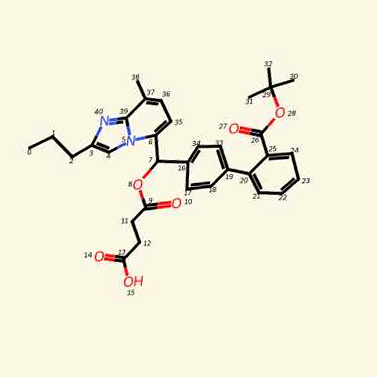 CCCc1cn2c(C(OC(=O)CCC(=O)O)c3ccc(-c4ccccc4C(=O)OC(C)(C)C)cc3)ccc(C)c2n1